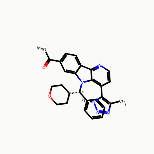 COC(=O)c1ccc2c3nccc(-c4c(C)nnn4C)c3n([C@H](c3ccccc3)C3CCOCC3)c2c1